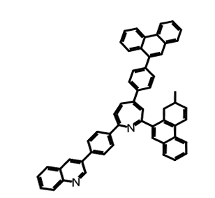 CC1C=Cc2c(c(C3=NC(c4ccc(-c5cnc6ccccc6c5)cc4)=C=CC(c4ccc(-c5cc6ccccc6c6ccccc56)cc4)=C3)cc3ccccc23)C1